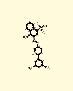 Cc1cc(C)cc(-c2ccc(N=Nc3cc(S(=O)(=O)O)c4ccccc4c3N)cn2)c1